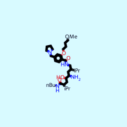 CCCCNC(=O)C(CC(O)C(N)CC(CNC(=O)c1ccc(CN2CCCC2)cc1OCCCCOC)C(C)C)C(C)C